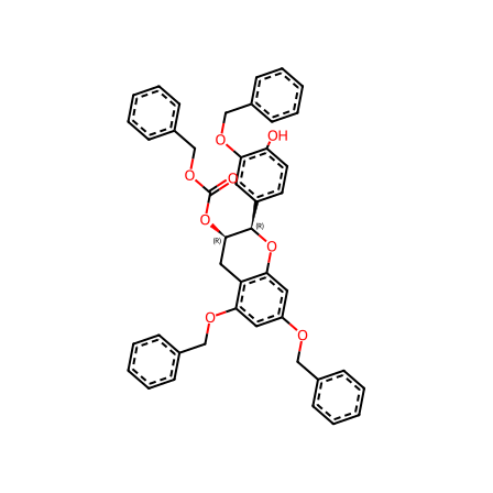 O=C(OCc1ccccc1)O[C@@H]1Cc2c(OCc3ccccc3)cc(OCc3ccccc3)cc2O[C@@H]1c1ccc(O)c(OCc2ccccc2)c1